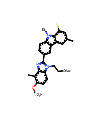 CCn1c2ccc(-c3nc4c(C)c(OC(=O)O)ccc4n3CCOC)cc2c2cc(C)cc(F)c21